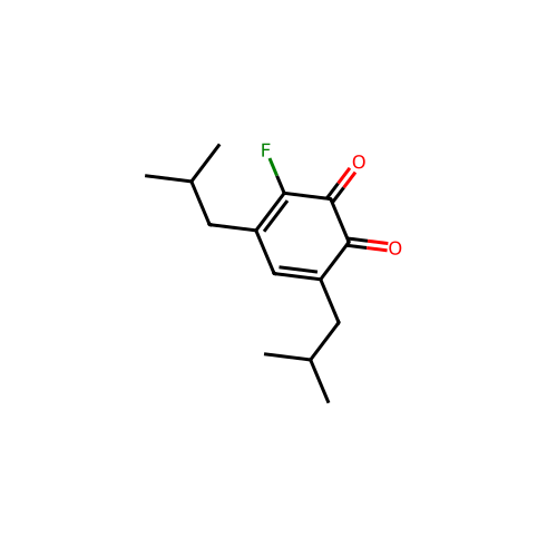 CC(C)CC1=CC(CC(C)C)=C(F)C(=O)C1=O